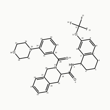 O=C(NC1CCCc2ccc(OC(F)(F)F)cc21)C1Cc2ccccc2CN1C(=O)c1cccc(N2CCOCC2)c1